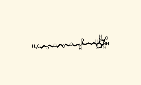 CCCOCCOCCOCCOCCNC(=O)CCCCC1SC[C@@H]2NC(=O)N[C@H]12